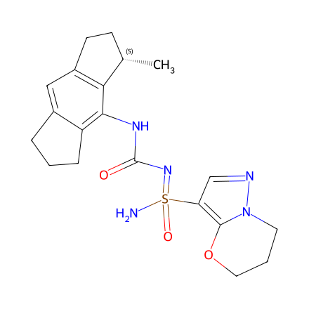 C[C@H]1CCc2cc3c(c(NC(=O)N=S(N)(=O)c4cnn5c4OCCC5)c21)CCC3